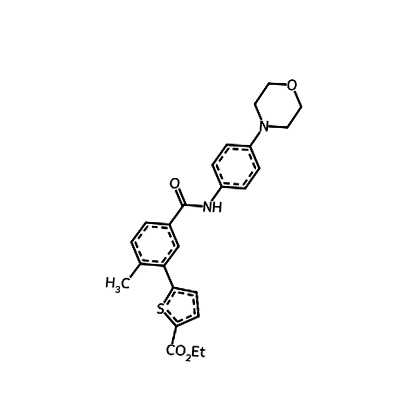 CCOC(=O)c1ccc(-c2cc(C(=O)Nc3ccc(N4CCOCC4)cc3)ccc2C)s1